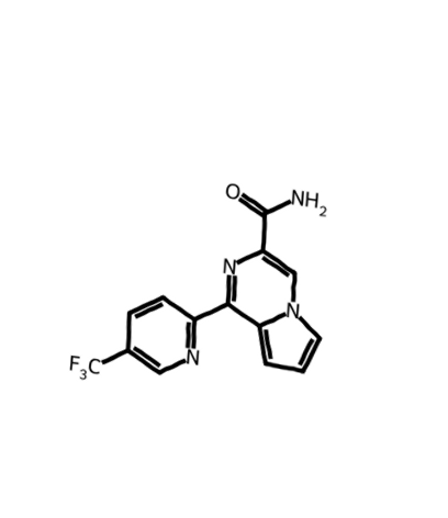 NC(=O)c1cn2cccc2c(-c2ccc(C(F)(F)F)cn2)n1